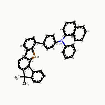 CC1(C)c2ccccc2-c2c1ccc1c2sc2c(-c3ccc(N(c4ccccc4)c4cccc5ccccc45)cc3)cccc21